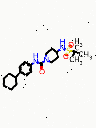 CC(C)(C)S(=O)(=O)NC1CCN(C(=O)Nc2ccc(C3CCCCC3)cc2)CC1